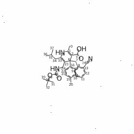 CC1=C(C(=O)O)C(Cc2ccccc2C#N)(c2ccc(C)cc2)C(CNC(=O)OC(C)(C)C)=C(CC(C)C)N1